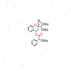 COC(C(=O)OC1CC(C)(C(OC)OC)Oc2ccccc21)c1ccccc1